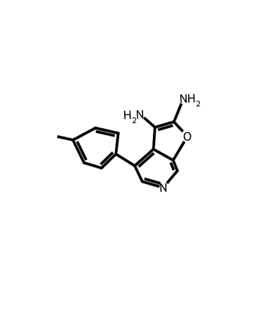 Cc1ccc(-c2cncc3oc(N)c(N)c23)cc1